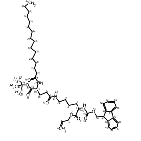 C=CCOC(=O)[C@@H](CCCCNC(=O)CC[C@H](NC(=O)CCCCCCCCCCCCCCC)C(=O)OC(C)(C)C)NC(=O)OCC1c2ccccc2-c2ccccc21